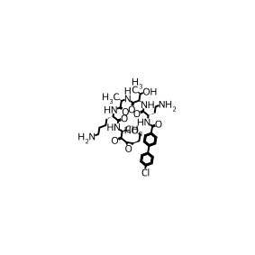 C[C@H](NC(=O)[C@@H](NC(=O)[C@H](CCN)NC(=O)c1ccc(-c2ccc(Cl)cc2)cc1)[C@@H](C)O)C(=O)N[C@@H](CCCCN)C(=O)N[C@@H](C)C(=O)C1O[C@@H]1CCO